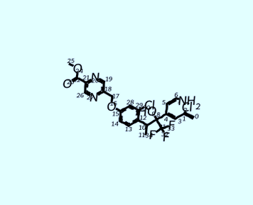 C=C(Cl)/C=C(\C=C/N)C(O)(C(C)c1ccc(OCc2cnc(C(=O)OC)cn2)cc1Cl)C(F)(F)F